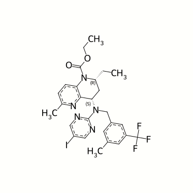 CCOC(=O)N1c2ccc(C)nc2[C@@H](N(Cc2cc(C)cc(C(F)(F)F)c2)c2ncc(I)cn2)C[C@H]1CC